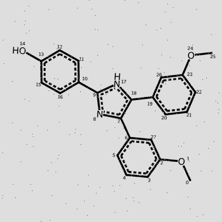 COc1cccc(-c2nc(-c3ccc(O)cc3)[nH]c2-c2cccc(OC)c2)c1